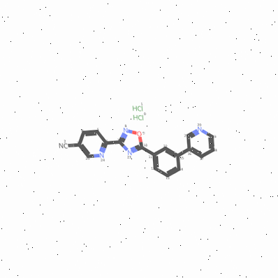 Cl.Cl.N#Cc1ccc(-c2noc(-c3cccc(-c4cccnc4)c3)n2)nc1